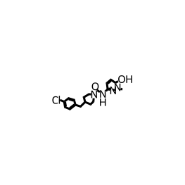 CN1N=C(NC(=O)N2CCC(Cc3ccc(Cl)cc3)CC2)C=CC1O